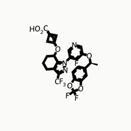 C[C@H](Oc1cncc(-n2nc(C(F)(F)F)c3c2C(OC24CC(C(=O)O)(C2)C4)CCC3)c1)c1cc2c(cc1F)OC(F)(F)O2